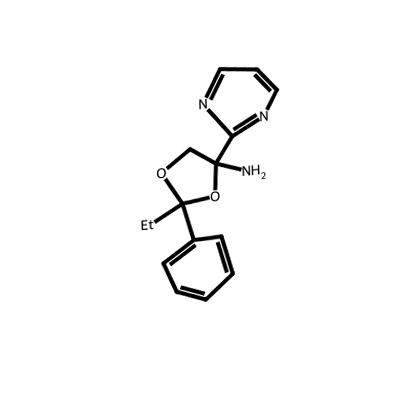 CCC1(c2ccccc2)OCC(N)(c2ncccn2)O1